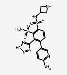 Nc1ccc(-c2ccc(S(=O)(=O)NC3CNC3)c(S(N)(=O)=O)c2-c2nn[nH]n2)cn1